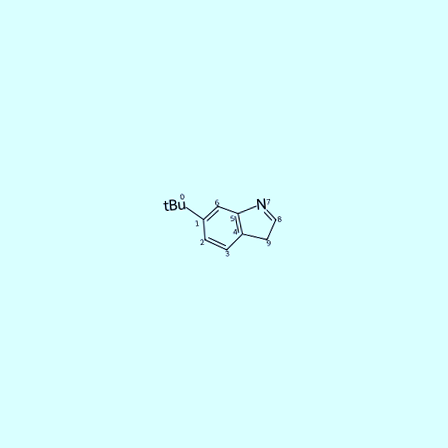 CC(C)(C)c1ccc2c(c1)N=CC2